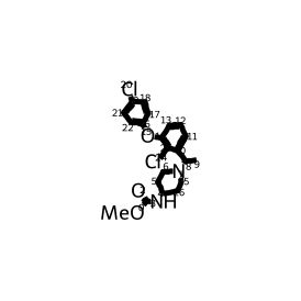 COC(=O)NC1CCN(C(C)c2cccc(Oc3ccc(Cl)cc3)c2Cl)CC1